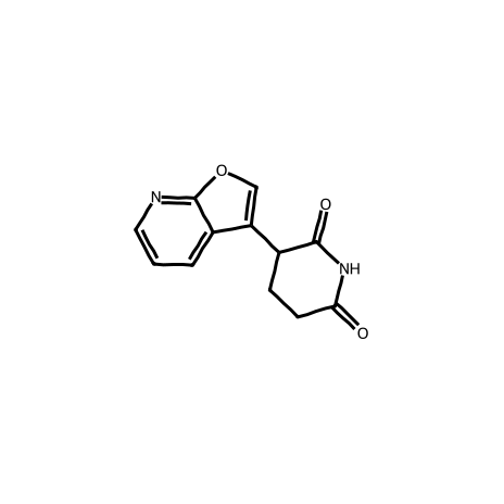 O=C1CCC(c2coc3ncccc23)C(=O)N1